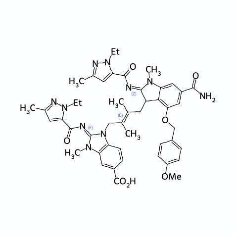 CCn1nc(C)cc1C(=O)/N=C1/C(C/C(C)=C(\C)Cn2/c(=N/C(=O)c3cc(C)nn3CC)n(C)c3cc(C(=O)O)ccc32)c2c(OCc3ccc(OC)cc3)cc(C(N)=O)cc2N1C